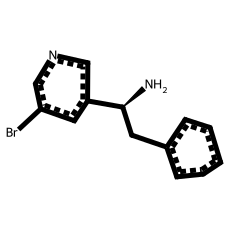 N[C@@H](Cc1ccccc1)c1cncc(Br)c1